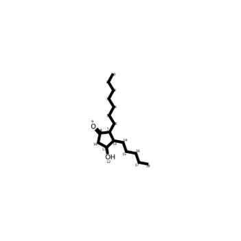 CCCCCCCC1C(=O)CC(O)C1CCCCC